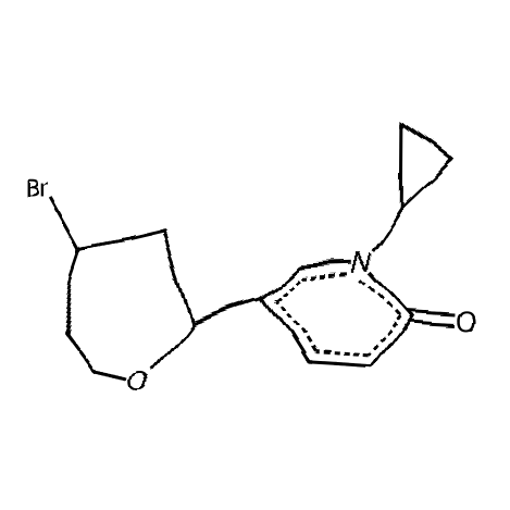 O=c1ccc(C2CC(Br)CCO2)cn1C1CC1